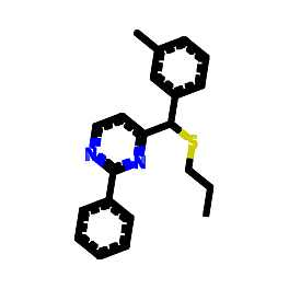 CCCSC(c1cccc(C)c1)c1ccnc(-c2ccccc2)n1